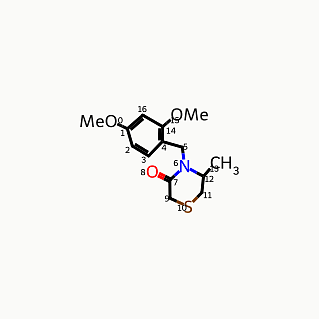 COc1ccc(CN2C(=O)CSCC2C)c(OC)c1